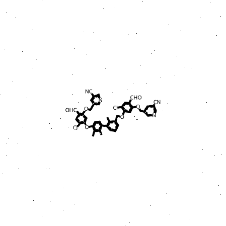 Cc1c(COc2cc(OCc3cncc(C#N)c3)c(C=O)cc2Cl)cccc1-c1ccc(Oc2cc(OCc3cncc(C#N)c3)c(C=O)cc2Cl)c(C)c1C